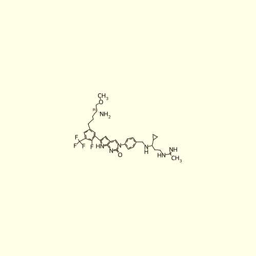 COC[C@H](N)CCCc1cc(-c2cc3cn(-c4ccc(CNC(CCNC(C)=N)C5CC5)cc4)c(=O)nc3[nH]2)c(F)c(C(F)(F)F)c1